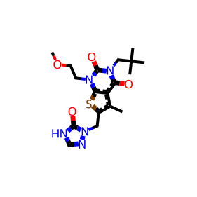 COCCn1c(=O)n(CC(C)(C)C)c(=O)c2c(C)c(Cn3nc[nH]c3=O)sc21